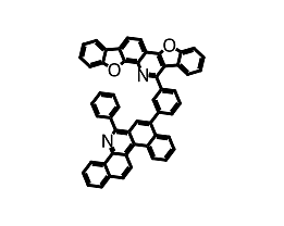 c1ccc(-c2nc3c4ccccc4ccc3c3c2cc(-c2cccc(-c4nc5c(ccc6c7ccccc7oc65)c5oc6ccccc6c45)c2)c2ccccc23)cc1